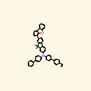 C=Cc1ccc(-c2ccc(N(c3ccc(-c4ccccc4)cc3)c3ccc4c(c3)C(C)(C)c3cc(-c5cccc6c5oc5ccccc56)ccc3-4)cc2)cc1